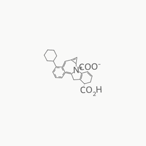 O=C(O)[C@H]1CC=CC2=C1CC1=c3cccc(C4CCCCC4)c3=CC3=CC3[N+]21C(=O)[O-]